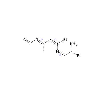 C=C/N=C(C)/C=C(CC)\N=C/C(N)CC